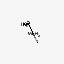 CCCCCCCCCCCCCCCCCC(=O)OO.[MgH2]